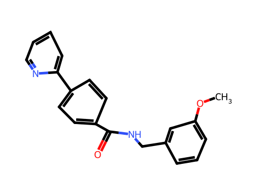 COc1cccc(CNC(=O)c2ccc(-c3ccccn3)cc2)c1